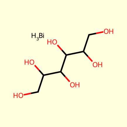 OCC(O)C(O)C(O)C(O)CO.[BiH3]